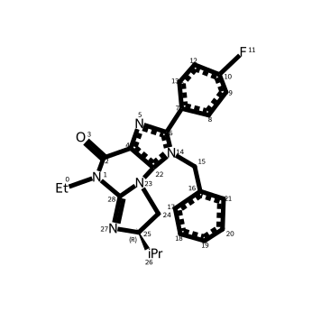 CCN1C(=O)c2nc(-c3ccc(F)cc3)n(Cc3ccccc3)c2N2C[C@@H](C(C)C)N=C12